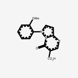 COc1ccccc1-n1ccc2ncc(C(=O)O)c(=O)n21